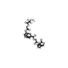 CC(F)(F)C(=O)OCC(=O)OC1C2CC3CC1CC(C(=O)OCC(=O)OC1C4CC5C(=O)OC1C5C4)(C3)C2